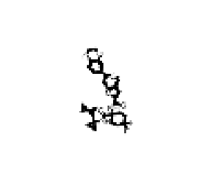 O=C(NC1(C(=O)NC2(C3=CC34CC4)CC2)CCC(F)(F)CC1)c1cc2ccc(-c3ccc4c(c3)OCCO4)cc2o1